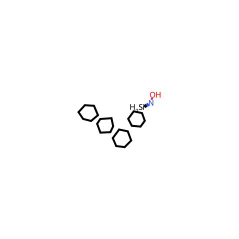 C1CCCCC1.C1CCCCC1.C1CCCCC1.C1CCCCC1.ON=[SiH2]